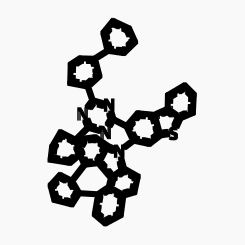 c1ccc(-c2cccc(-c3nc(-c4ccccc4)nc(-c4cc5c(cc4-n4c6cccc7c6c6c8c(cccc8ccc64)-c4ccccc4-7)sc4ccccc45)n3)c2)cc1